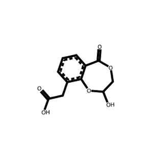 O=C(O)Cc1cccc2c1OC(O)COC2=O